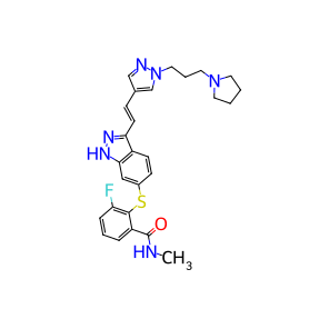 CNC(=O)c1cccc(F)c1Sc1ccc2c(/C=C/c3cnn(CCCN4CCCC4)c3)n[nH]c2c1